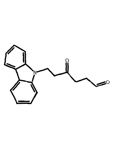 O=CCCC(=O)CCn1c2ccccc2c2ccccc21